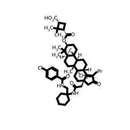 CC(C)C1=C2[C@H]3CC[C@@H]4[C@@]5(C)CC[C@H](OC(=O)[C@H]6C[C@@H](C(=O)O)C6(C)C)C(C)(C)[C@@H]5CC[C@@]4(C)[C@]3(C)CC[C@@]2(CC(=O)NC2(CNC(=O)c3ccc(Cl)cc3)CCCCC2)CC1=O